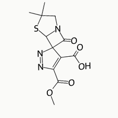 COC(=O)C1=C(C(=O)O)C2(N=N1)C(=O)N1CC(C)(C)SC12